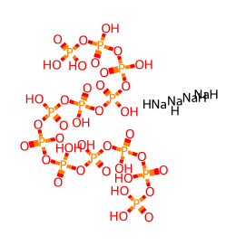 O=P(O)(O)OP(=O)(O)OP(=O)(O)OP(=O)(O)OP(=O)(O)OP(=O)(O)OP(=O)(O)OP(=O)(O)OP(=O)(O)OP(=O)(O)OP(=O)(O)OP(=O)(O)O.[NaH].[NaH].[NaH].[NaH]